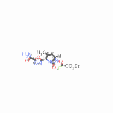 CCOC(=O)[C@H](F)ON1C(=O)N2C[C@H]1C=C(C)[C@H]2c1nnc(C(N)=O)o1